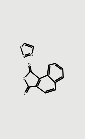 O=C1OC(=O)c2c1ccc1ccccc21.c1csnn1